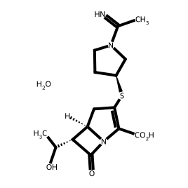 CC(=N)N1CC[C@H](SC2=C(C(=O)O)N3C(=O)[C@H](C(C)O)[C@H]3C2)C1.O